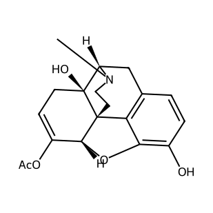 CC(=O)OC1=CC[C@]2(O)[C@@H]3Cc4ccc(O)c5c4[C@]2(CCN3C)[C@@H]1O5